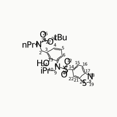 CCCN(Cc1cccc(N(CC(C)C)S(=O)(=O)c2ccc3ncsc3c2)c1O)C(=O)OC(C)(C)C